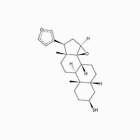 C[C@]12CC[C@H](S)C[C@H]1CC[C@@H]1[C@@H]2CC[C@]2(C)[C@@H](c3ccoc3)C[C@H]3O[C@]132